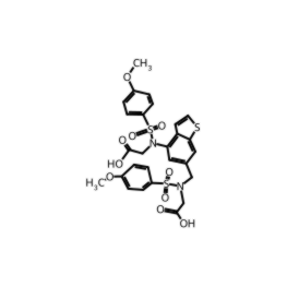 COc1ccc(S(=O)(=O)N(CC(=O)O)Cc2cc(N(CC(=O)O)S(=O)(=O)c3ccc(OC)cc3)c3ccsc3c2)cc1